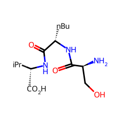 CCCC[C@H](NC(=O)[C@@H](N)CO)C(=O)N[C@H](C(=O)O)C(C)C